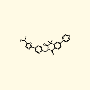 CC1(C)C(=O)N(Cc2ccc(-c3nnc(C(F)F)o3)cn2)C(=O)c2ccc(-c3ccncc3)cc21